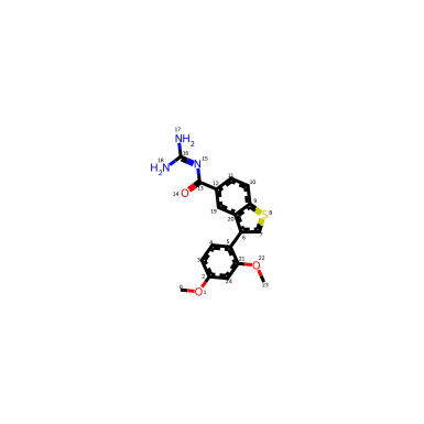 COc1ccc(-c2csc3ccc(C(=O)N=C(N)N)cc23)c(OC)c1